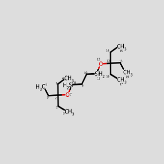 CCC(CC)(CC)O[SiH2]CC[SiH2]OC(CC)(CC)CC